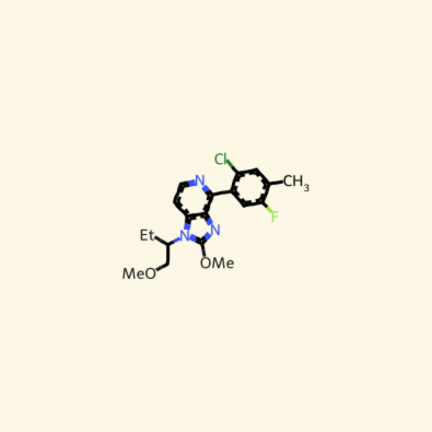 CCC(COC)n1c(OC)nc2c(-c3cc(F)c(C)cc3Cl)nccc21